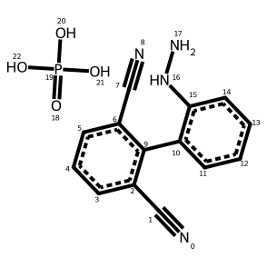 N#Cc1cccc(C#N)c1-c1ccccc1NN.O=P(O)(O)O